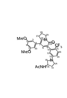 COc1cc(OC)cc(-c2cc(-c3cc(N4CCC(NC(C)=O)C4)ccc3C(F)(F)F)c(=O)n3c2CCC3)c1